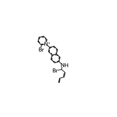 C=C/C=C\C(Br)Nc1ccc2cc(-[n+]3ccccc3Br)ccc2c1